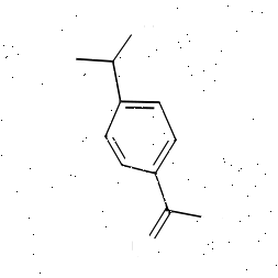 C=C(C)c1ccc(C(C)C(=O)O)cc1